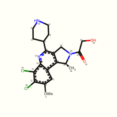 COc1cc2c3c(c(C4CCNCC4)nc2c(Cl)c1Cl)CN(C(=O)CO)[C@H]3C